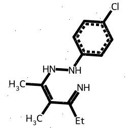 CCC(=N)C(C)=C(C)NNc1ccc(Cl)cc1